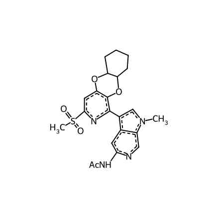 CC(=O)Nc1cc2c(-c3nc(S(C)(=O)=O)cc4c3OC3CCCCC3O4)cn(C)c2cn1